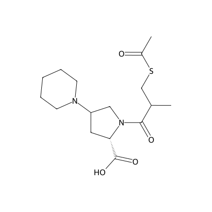 CC(=O)SCC(C)C(=O)N1CC(N2CCCCC2)C[C@H]1C(=O)O